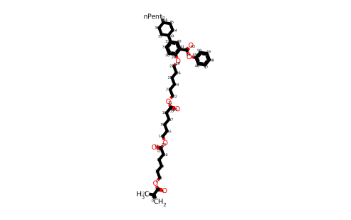 C=C(C)C(=O)OCCCCCC(=O)OCCCCCC(=O)OCCCCCCOc1ccc(C2CCC(CCCCC)CC2)cc1C(=O)Oc1ccccc1